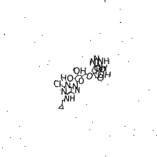 COCC(Cc1nn[nH]n1)(OC[C@H]1O[C@@H](n2ncc3c(NCC4CC4)nc(Cl)nc32)[C@H](O)[C@@H]1O)P(=O)(O)O